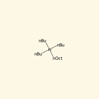 CCCCCCC[CH2][Al-]([CH2]CCC)([CH2]CCC)[CH2]CCC